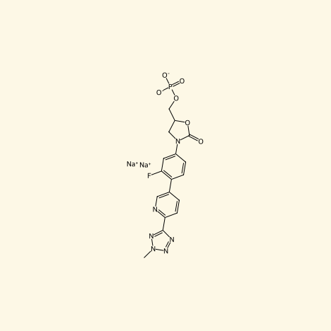 Cn1nnc(-c2ccc(-c3ccc(N4CC(COP(=O)([O-])[O-])OC4=O)cc3F)cn2)n1.[Na+].[Na+]